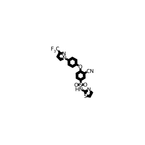 N#Cc1cc(S(=O)(=O)Nc2nccs2)ccc1Oc1ccc(-n2ccc(C(F)(F)F)n2)cc1